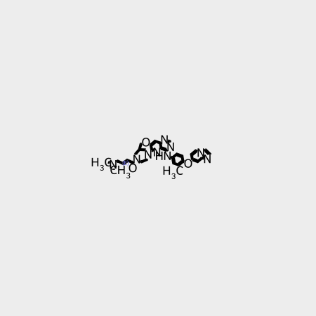 Cc1cc(Nc2ncnc3cc4c(nc23)N2CCN(C(=O)/C=C/CN(C)C)CC(CO4)C2)ccc1Oc1ccn2ccnc2c1